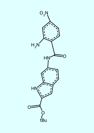 CC(C)(C)OC(=O)c1cc2ccc(NC(=O)c3ccc([N+](=O)[O-])cc3N)cc2[nH]1